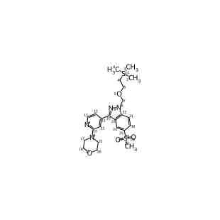 C[Si](C)(C)CCOCn1nc(-c2ccnc(N3CCOCC3)c2)c2cc(S(C)(=O)=O)ccc21